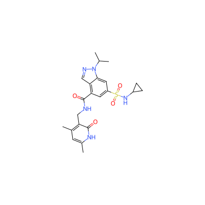 Cc1cc(C)c(CNC(=O)c2cc(S(=O)(=O)NC3CC3)cc3c2cnn3C(C)C)c(=O)[nH]1